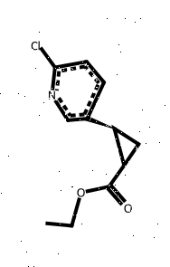 CCOC(=O)C1C[C@@H]1c1ccc(Cl)nc1